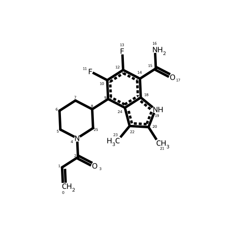 C=CC(=O)N1CCCC(c2c(F)c(F)c(C(N)=O)c3[nH]c(C)c(C)c23)C1